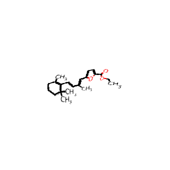 CCOC(=O)c1ccc(C=C(C)C=CC2=C(C)CCCC2(C)C)o1